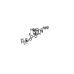 CN(C)CCOc1cc(F)cc(-c2cccc3[nH]c(-c4n[nH]c5ccc(-c6cncc(CNCC7CCCC7)c6)nc45)nc23)c1